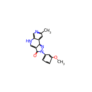 COc1cccc(-n2nc3c4cc(C)ncc4[nH]cc-3c2=O)c1